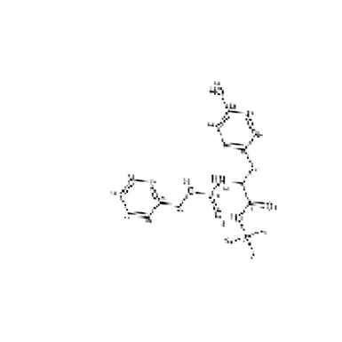 CC(C)(C)OC(=O)C(Cc1ccc(O)cc1)NC(=O)OCc1ccccc1